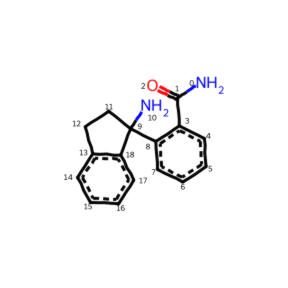 NC(=O)c1ccccc1C1(N)CCc2ccccc21